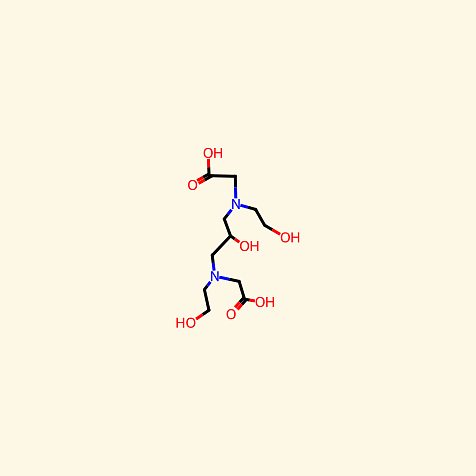 O=C(O)CN(CCO)CC(O)CN(CCO)CC(=O)O